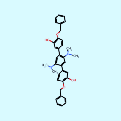 CN(C)c1cc(-c2ccc(OCc3ccccc3)c(O)c2)c(N(C)C)cc1-c1ccc(OCc2ccccc2)c(O)c1